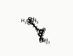 CCN(CC)c1ccc2c(OCCCCCCOC(=O)C(C)(C)C)cc(=O)oc2c1